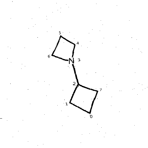 C1C[C](N2CCC2)C1